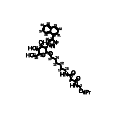 CC(C)OCNC(=O)CC(=O)NCCCCCCOC1OC(CO)C(O)C(O)C1n1cc(-c2cccc3ccccc23)nn1